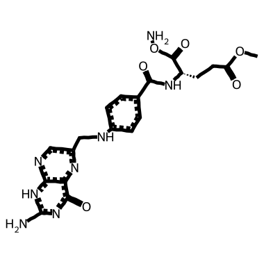 COC(=O)CC[C@H](NC(=O)c1ccc(NCc2cnc3[nH]c(N)nc(=O)c3n2)cc1)C(=O)ON